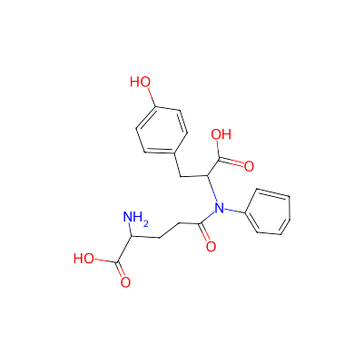 NC(CCC(=O)N(c1ccccc1)C(Cc1ccc(O)cc1)C(=O)O)C(=O)O